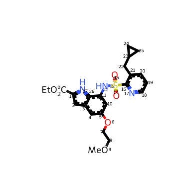 CCOC(=O)c1cc2cc(OCCOC)cc(NS(=O)(=O)c3ncccc3CC3CC3)c2[nH]1